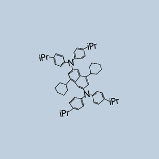 CC(C)c1ccc(N(c2ccc(C(C)C)cc2)c2cc(C3CCCCC3)c3cc(N(c4ccc(C(C)C)cc4)c4ccc(C(C)C)cc4)cc(C4CCCCC4)c3c2)cc1